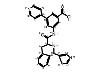 O=C(O)c1cc(NC(=O)C(Cc2ccccc2)NCc2cncs2)cc(-c2ccncc2)c1